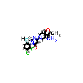 Cc1nc(N2CCC3(CC2)CO[C@@H](C)[C@H]3N)cc(=O)n1C1=C(F)CCC(Cl)=C1Cl